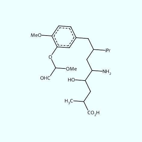 COc1ccc(CC(CC(N)C(O)CC(C)C(=O)O)C(C)C)cc1OC(C=O)OC